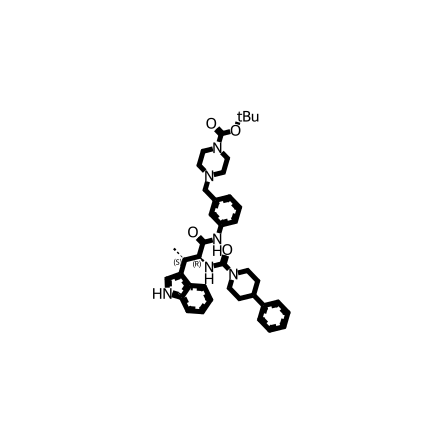 C[C@@H](c1c[nH]c2ccccc12)[C@@H](NC(=O)N1CCC(c2ccccc2)CC1)C(=O)Nc1cccc(CN2CCN(C(=O)OC(C)(C)C)CC2)c1